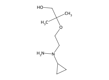 CC(C)(CO)OCCN(N)C1CC1